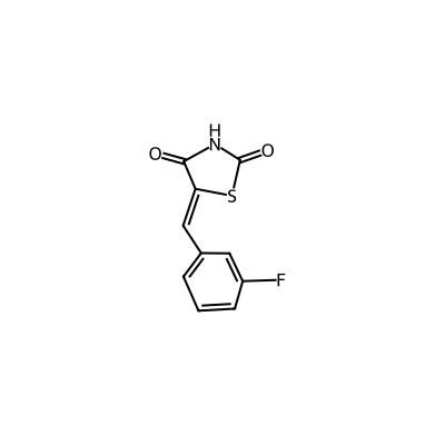 O=C1NC(=O)C(=Cc2cccc(F)c2)S1